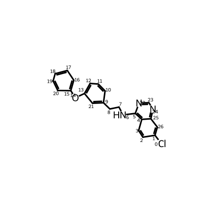 Clc1ccc2c(NCCc3cccc(Oc4ccccc4)c3)ncnc2c1